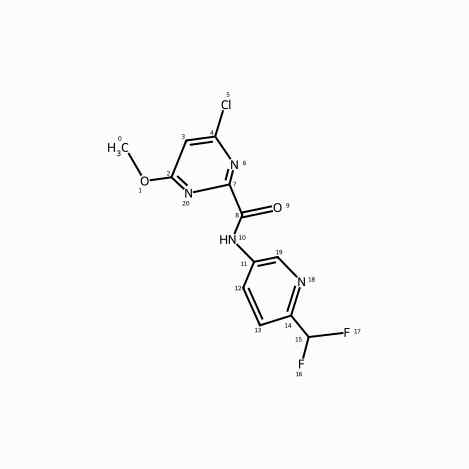 COc1cc(Cl)nc(C(=O)Nc2ccc(C(F)F)nc2)n1